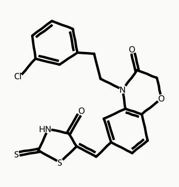 O=C1NC(=S)SC1=Cc1ccc2c(c1)N(CCc1cccc(Cl)c1)C(=O)CO2